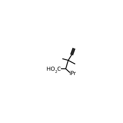 C#CC(C)(C)C(C(=O)O)C(C)C